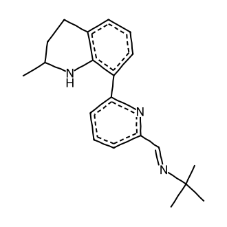 CC1CCc2cccc(-c3cccc(/C=N/C(C)(C)C)n3)c2N1